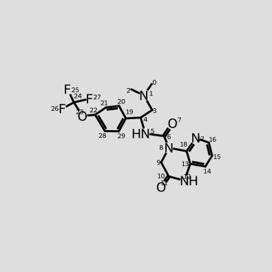 CN(C)CC(NC(=O)N1CC(=O)Nc2cccnc21)c1ccc(OC(F)(F)F)cc1